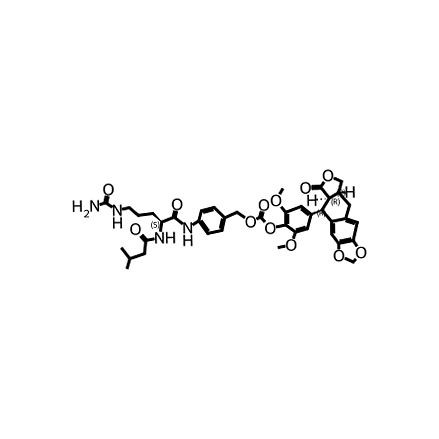 COc1cc([C@@H]2c3cc4c(cc3C[C@H]3COC(=O)[C@@H]32)OCO4)cc(OC)c1OC(=O)OCc1ccc(NC(=O)[C@H](CCCNC(N)=O)NC(=O)CC(C)C)cc1